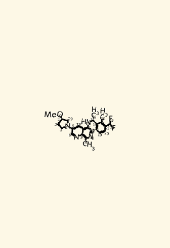 CO[C@H]1CCN(c2cnc3c(C)nnc(N[C@H](C)c4cccc(C(F)F)c4C)c3c2)C1